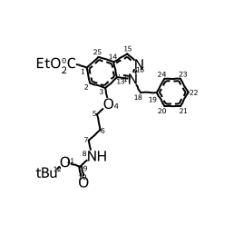 CCOC(=O)c1cc(OCCCNC(=O)OC(C)(C)C)c2c(cnn2Cc2ccccc2)c1